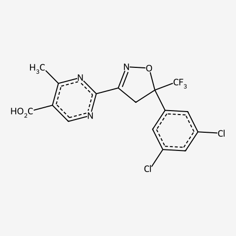 Cc1nc(C2=NOC(c3cc(Cl)cc(Cl)c3)(C(F)(F)F)C2)ncc1C(=O)O